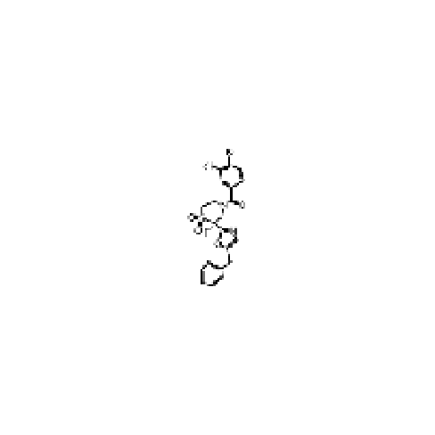 O=C(c1ccc(Br)c(Cl)c1)N1CCS(=O)(=O)[C@](F)(c2ncc(Cc3ccccc3)o2)C1